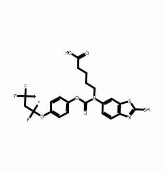 O=C(O)CCCCN(C(=O)Oc1ccc(OC(F)(F)CC(F)(F)F)cc1)c1ccc2nc(S)sc2c1